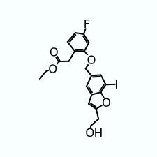 CCOC(=O)Cc1ccc(F)cc1OCc1cc(I)c2oc(CCO)cc2c1